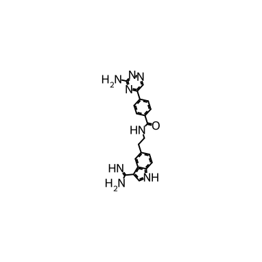 N=C(N)c1c[nH]c2ccc(CCNC(=O)c3ccc(-c4cnnc(N)n4)cc3)cc12